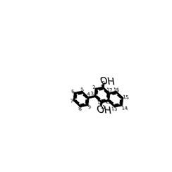 Oc1cc(-c2ccccc2)c(O)c2ccccc12